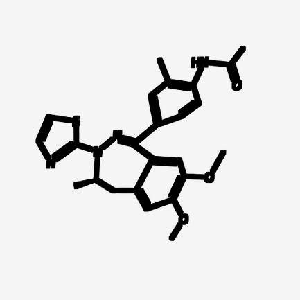 COc1cc2c(cc1OC)C(c1ccc(NC(C)=O)c(C)c1)=NN(c1nccs1)[C@H](C)C2